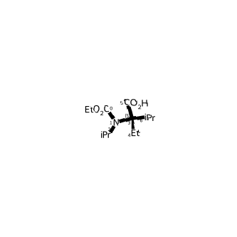 CCOC(=O)N(C(C)C)[C@](CC)(C(=O)O)C(C)C